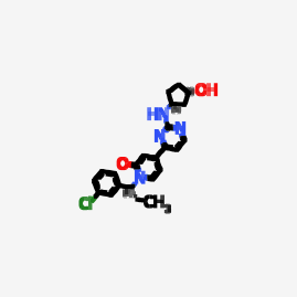 CC[C@H](c1cccc(Cl)c1)n1ccc(-c2ccnc(N[C@H]3CC[C@H](O)C3)n2)cc1=O